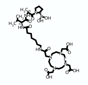 CC(C)[C@H](NC(=O)CCCCCCNC(=O)CN1CCN(CC(=O)O)CCN(CC(=O)O)CCN(CC(=O)O)CC1)C(=O)N[C@H](C)C(=O)N1CCC[C@H]1B(O)O